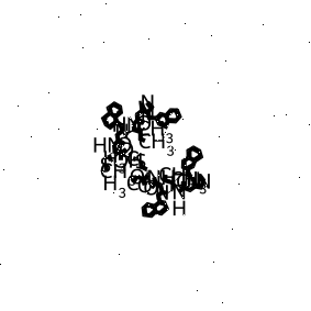 CC[C@H](C)[C@@H](CN(CC(=O)N[C@@H](CCSC)C(=O)O)Cc1cccc2ccccc12)NC(=O)Cc1cncn1Cc1ccc2ccccc2c1.CC[C@H](C)[C@@H](CN(CC(=O)N[C@@H](CCSC)C(=O)OC)Cc1cccc2ccccc12)NC(=O)Cc1cncn1Cc1ccc2ccccc2c1